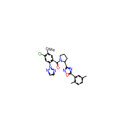 COc1cc(C(=O)N2CCCC2c2noc(-c3cc(C)ccc3C)n2)c(-n2nccn2)cc1Cl